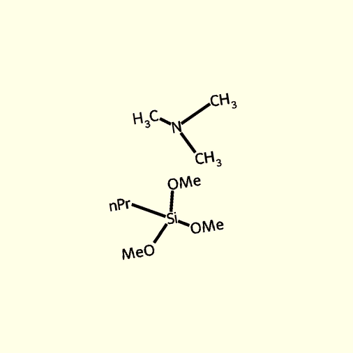 CCC[Si](OC)(OC)OC.CN(C)C